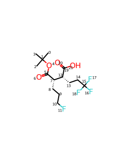 CC(C)(C)OC(=O)[C@@H](CCCF)[C@@H](CCC(F)(F)F)C(=O)O